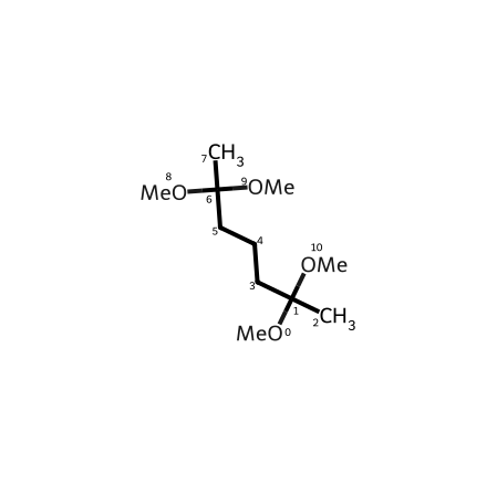 COC(C)(CCCC(C)(OC)OC)OC